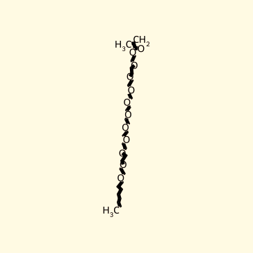 C=C(C)C(=O)OCCOCCOCCOCCOCCOCCOCCOCCOCCOCCOCCCCCCCC